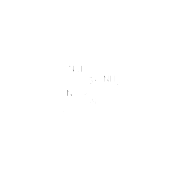 CN(C)C(=S)SN.[NaH]